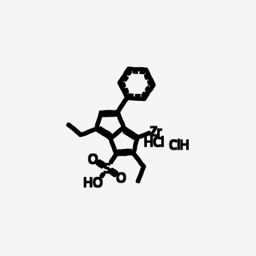 CCC1=C2C(=[C]([Zr])C(CC)=C2S(=O)(=O)O)C(c2ccccc2)=C1.Cl.Cl